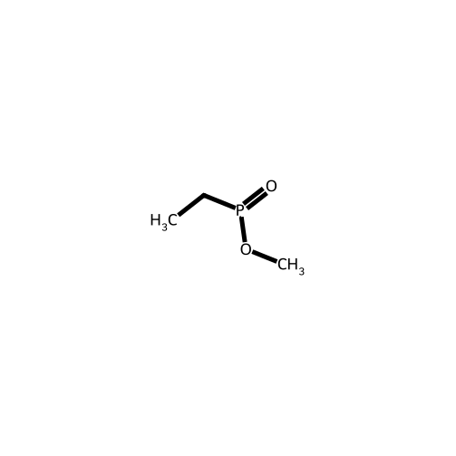 CC[P](=O)OC